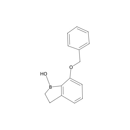 OB1CCc2cccc(OCc3ccccc3)c21